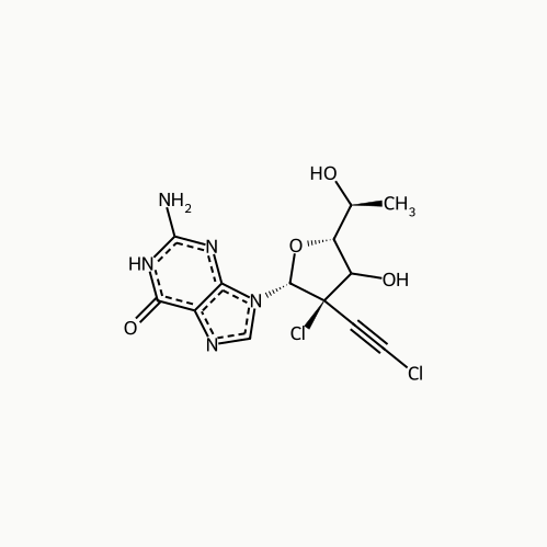 C[C@H](O)[C@H]1O[C@@H](n2cnc3c(=O)[nH]c(N)nc32)[C@@](Cl)(C#CCl)C1O